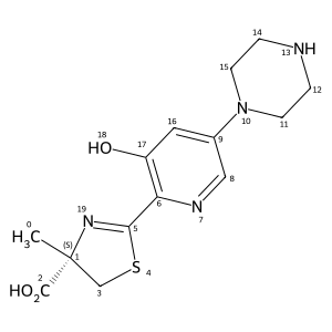 C[C@]1(C(=O)O)CSC(c2ncc(N3CCNCC3)cc2O)=N1